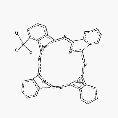 Cl[Si](Cl)(Cl)c1cccc2c3nc4nc(nc5[nH]c(nc6nc(nc([nH]3)c12)-c1ccccc1-6)c1ccccc51)-c1ccccc1-4